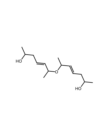 CC(O)CC=CC(C)OC(C)C=CCC(C)O